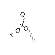 C[N+](C)(C)CCCC(=O)NCc1ccc(C2C(CCC(O)c3ccc(F)cc3)C(=O)N2c2ccc(F)cc2)cc1.O=C([O-])C(F)(F)F